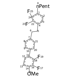 CCCCCc1ccc(CCc2ccc(-c3ccc(OC)c(F)c3F)cc2)c(F)c1F